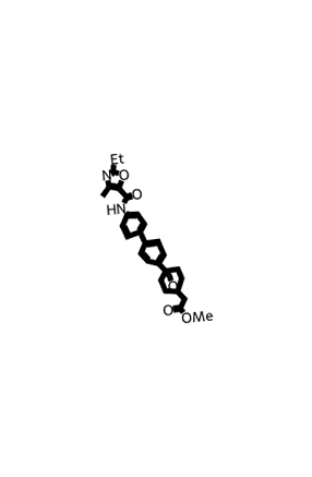 CCc1nc(C)c(C(=O)Nc2ccc(-c3ccc(C45CCC(CC(=O)OC)(CC4)OC5)cc3)cc2)o1